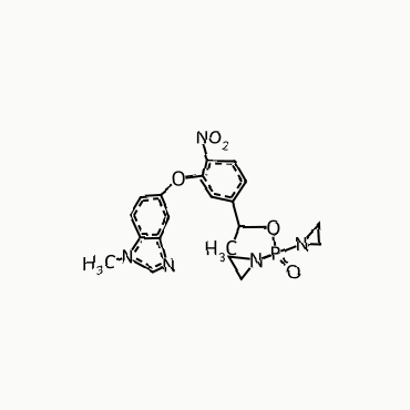 CC(OP(=O)(N1CC1)N1CC1)c1ccc([N+](=O)[O-])c(Oc2ccc3c(c2)ncn3C)c1